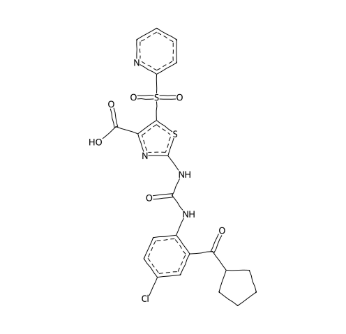 O=C(Nc1nc(C(=O)O)c(S(=O)(=O)c2ccccn2)s1)Nc1ccc(Cl)cc1C(=O)C1CCCC1